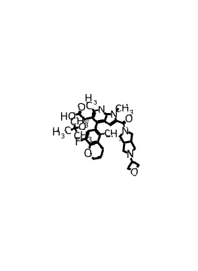 Cc1nc2c(cc(C(=O)N3CC4CN(C5COC5)CC4C3)n2C)c(-c2cc(F)c3c(c2C)CCCO3)c1[C@H](OC(C)(C)C)C(=O)O